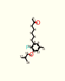 CC(=O)CCCCCc1cc(C)cc(OCC(C)C)c1F